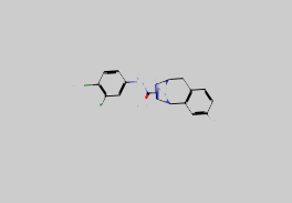 O=C(Nc1ccc(Cl)c(Cl)c1)N1C2CCC1c1cc(F)ccc1C2